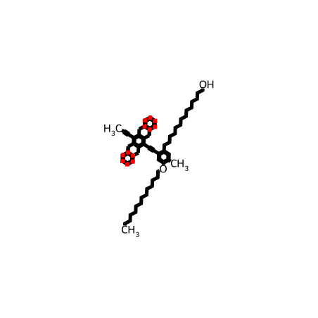 CC#Cc1c2c(c(C#Cc3cc(OCCCCCCCCCCCCCC)c(C)cc3CCCCCCCCCCCCCCO)c3c1C1c4ccccc4C3c3ccccc31)C1c3ccccc3C2c2ccccc21